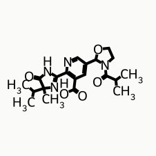 CC(C)C(=O)N1CCOC1c1cnc(C2=NC(C)(C(C)C)C(=O)N2)c(C(=O)O)c1